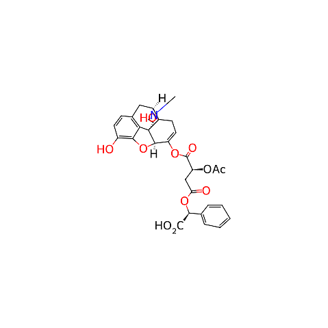 CC(=O)O[C@@H](CC(=O)O[C@H](C(=O)O)c1ccccc1)C(=O)OC1=CC[C@]2(O)[C@@H]3Cc4ccc(O)c5c4[C@]2(CCN3C)[C@@H]1O5